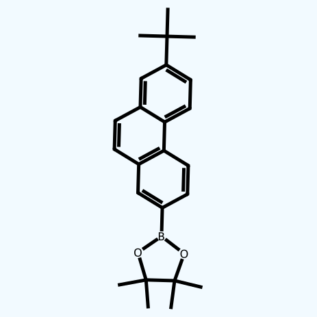 CC(C)(C)c1ccc2c(ccc3cc(B4OC(C)(C)C(C)(C)O4)ccc32)c1